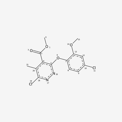 COC(=O)c1c(Oc2ccc(Cl)cc2OC)nnc(Cl)c1C